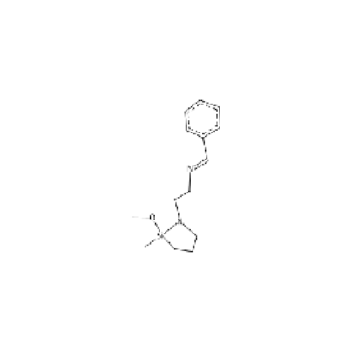 CO[Si]1(C)CCCN1CCN=Cc1ccccc1